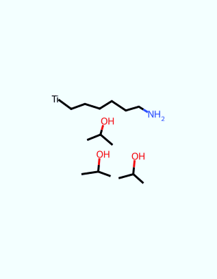 CC(C)O.CC(C)O.CC(C)O.NCCCCC[CH2][Ti]